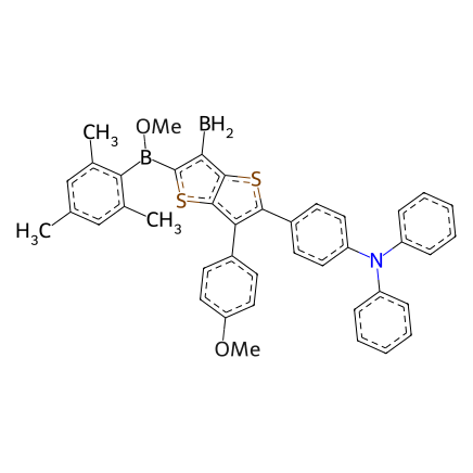 Bc1c(B(OC)c2c(C)cc(C)cc2C)sc2c(-c3ccc(OC)cc3)c(-c3ccc(N(c4ccccc4)c4ccccc4)cc3)sc12